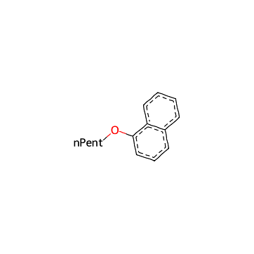 CCCCCOc1cccc2ccccc12